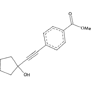 COC(=O)c1ccc(C#CC2(O)CCCC2)cc1